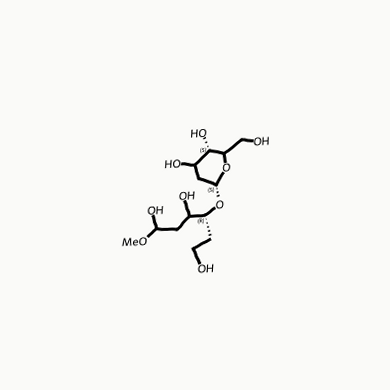 COC(O)CC(O)[C@@H](CCO)O[C@@H]1CC(O)[C@H](O)C(CO)O1